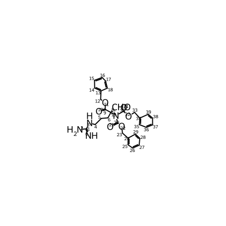 N=C(N)NCCC[C@]([C]=O)(C(=O)OCc1ccccc1)N(C(=O)OCc1ccccc1)C(=O)OCc1ccccc1